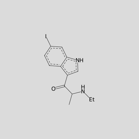 CCNC(C)C(=O)c1c[nH]c2cc(I)ccc12